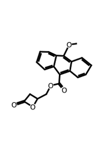 COc1c2ccccc2c(C(=O)OCC2CC(=O)O2)c2ccccc12